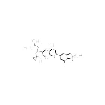 CC(C)CN(CC1(C)CC1)c1cnc2nc(-c3cc(F)c4nn(C)cc4c3)cc(Cl)c2c1